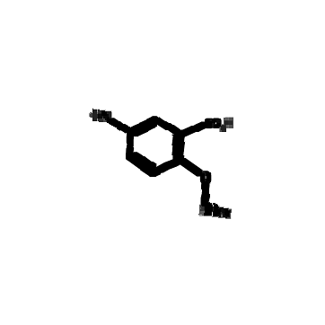 CCCCCCOc1ccc([NH])cc1S(=O)(=O)O